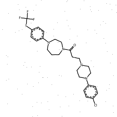 O=C(CCN1CCN(c2ccc(Cl)cc2)CC1)N1CCCN(c2ccc(SC(F)(F)F)cc2)CC1